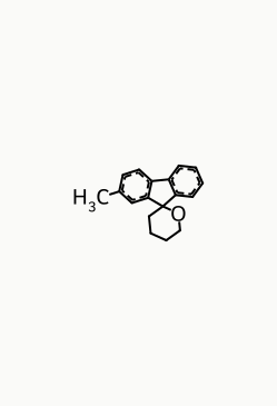 Cc1ccc2c(c1)C1(CCCCO1)c1ccccc1-2